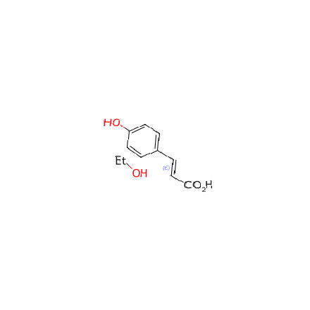 CCO.O=C(O)/C=C/c1ccc(O)cc1